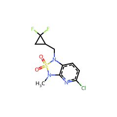 CN1c2nc(Cl)ccc2N(CC2CC2(F)F)S1(=O)=O